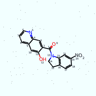 O=C(c1cc2ncccc2cc1O)N1CCc2ccc([N+](=O)[O-])cc21